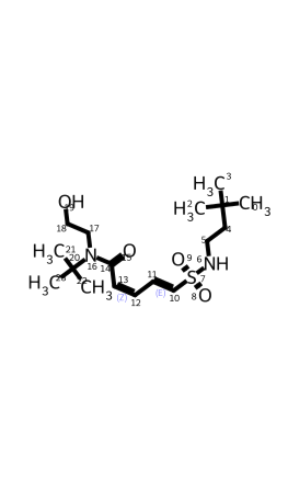 CC(C)(C)CCNS(=O)(=O)/C=C/C=C\C(=O)N(CCO)C(C)(C)C